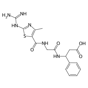 Cc1nc(NC(=N)N)sc1C(=O)NCC(=O)NC(CC(=O)O)c1ccccc1